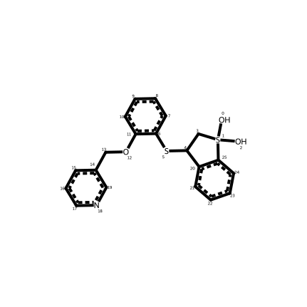 OS1(O)CC(Sc2ccccc2OCc2cccnc2)c2ccccc21